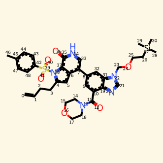 C=CCCc1cc2c(-c3cc(C(=O)N4CCOCC4)c4ncn(COCC[Si](C)(C)C)c4c3)c[nH]c(=O)c2n1S(=O)(=O)c1ccc(C)cc1